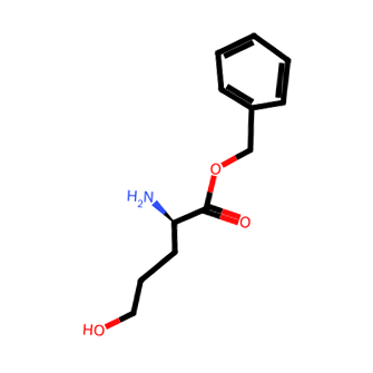 N[C@H](CCCO)C(=O)OCc1ccccc1